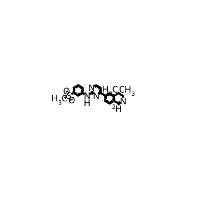 [2H]C1=NCC(C)(C)c2cc(-c3ccnc(Nc4cccc(S(C)(=O)=O)c4)n3)ccc21